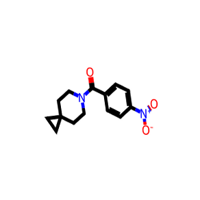 O=C(c1ccc([N+](=O)[O-])cc1)N1CCC2(CC1)CC2